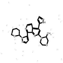 CC1COCCN1c1cc(-c2ccn[nH]2)c2ccnc(-c3ccnn3C3CCCCO3)c2n1